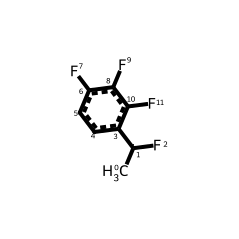 C[C](F)c1ccc(F)c(F)c1F